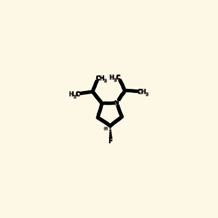 CC(C)C1C[C@@H](F)CN1C(C)C